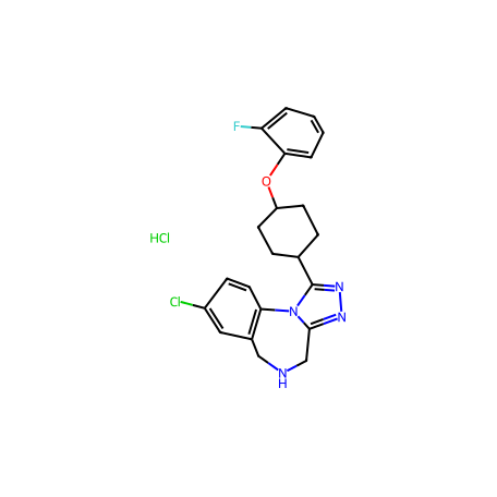 Cl.Fc1ccccc1OC1CCC(c2nnc3n2-c2ccc(Cl)cc2CNC3)CC1